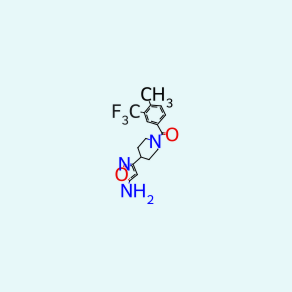 Cc1ccc(C(=O)N2CCC(c3cc(N)on3)CC2)cc1C(F)(F)F